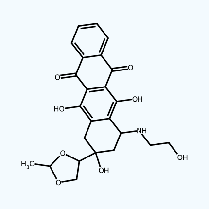 CC1OCC(C2(O)Cc3c(O)c4c(c(O)c3C(NCCO)C2)C(=O)c2ccccc2C4=O)O1